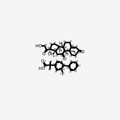 CC(C)(C(=O)O)c1ccc(-c2ccccc2)c(F)c1.C[C@]12CCC(=O)C=C1CC[C@@H]1[C@@H]2C(=O)C[C@@]2(C)[C@H]1CC[C@]2(O)C(=O)CO